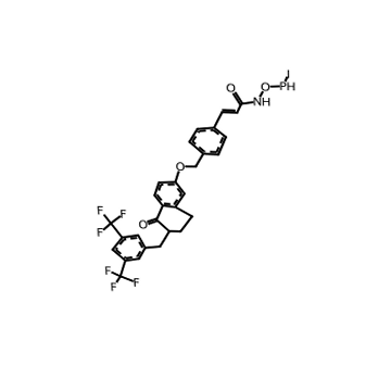 O=C(/C=C/c1ccc(COc2ccc3c(c2)CCC(Cc2cc(C(F)(F)F)cc(C(F)(F)F)c2)C3=O)cc1)NOPI